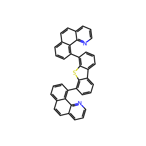 c1cnc2c(c1)ccc1cccc(-c3cccc4c3sc3c(-c5cccc6ccc7cccnc7c56)cccc34)c12